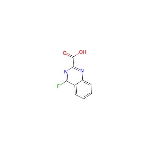 O=C(O)c1nc(F)c2ccccc2n1